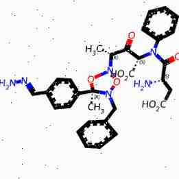 C[C@H](C(=O)[C@@H](C(=O)O)N(C(=O)[C@@H](N)CC(=O)O)c1ccccc1)N1ON(Cc2ccccc2)[C@@](C)(c2ccc(C=NN)cc2)O1